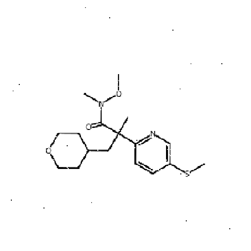 CON(C)C(=O)C(C)(CC1CCOCC1)c1ccc(SC)cn1